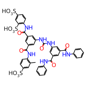 Cc1cc(S(=O)(=O)O)ccc1NC(=O)c1cc(NC(=O)Nc2cc(C(=O)Nc3ccccc3)cc(C(=O)Nc3ccccc3)c2)cc(C(=O)Nc2ccc(S(=O)(=O)O)cc2S(=O)(=O)O)c1